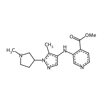 COC(=O)c1ccncc1Nc1cnn(C2CCN(C)C2)c1C